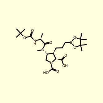 C[C@H](NC(=O)OC(C)(C)C)C(=O)N(C)[C@H]1CN(C(=O)O)[C@H](C(=O)O)[C@@H]1CCCB1OC(C)(C)C(C)(C)O1